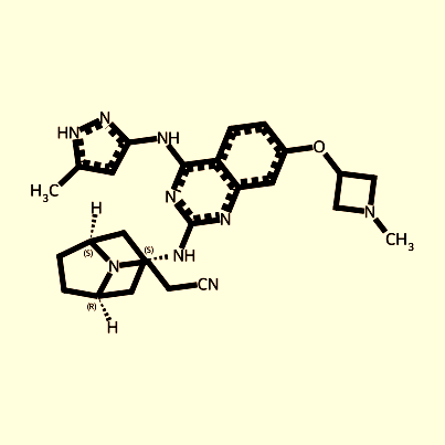 Cc1cc(Nc2nc(N[C@@H]3C[C@H]4CC[C@@H](C3)N4CCC#N)nc3cc(OC4CN(C)C4)ccc23)n[nH]1